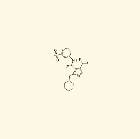 CS(=O)(=O)c1cccc(NC(=O)c2c(C(F)F)cnn2CC2CCCCC2)c1